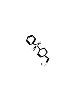 C=CC1C=CC(S(=O)(=O)c2ccccc2)CC1